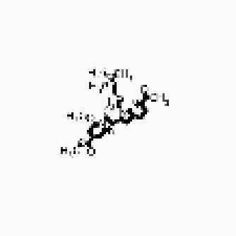 COC(=O)c1cc(OC)n2c(C)c(-c3cc4ccc(C(C)=O)nc4n3COCC[Si](C)(C)C)nc2c1